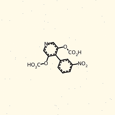 O=C(O)Oc1cncc(OC(=O)O)c1-c1cccc([N+](=O)[O-])c1